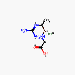 CC(N=C(N)N)SNCC(=O)O.Cl